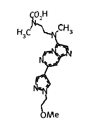 COCCn1cc(-c2cc3ncc(N(C)CCN(C)C(=O)O)n3cn2)cn1